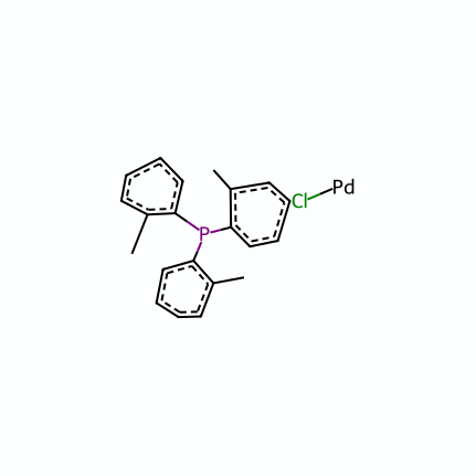 Cc1ccccc1P(c1ccccc1C)c1ccccc1C.[Cl][Pd]